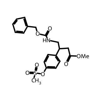 COC(=O)CC(CNC(=O)OCc1ccccc1)c1ccc(OS(C)(=O)=O)cc1